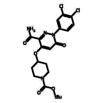 CC(C)(C)OC(=O)N1CCC(Oc2cc(=O)n(-c3ccc(Cl)c(Cl)c3)nc2C(N)=O)CC1